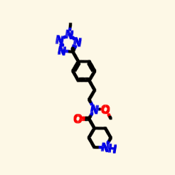 CON(CCc1ccc(-c2nnn(C)n2)cc1)C(=O)C1CCNCC1